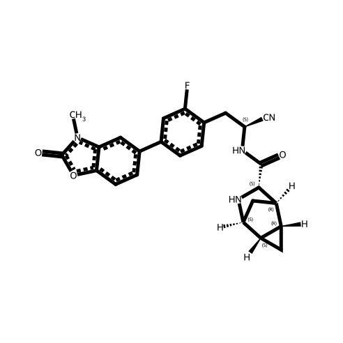 Cn1c(=O)oc2ccc(-c3ccc(C[C@@H](C#N)NC(=O)[C@H]4N[C@H]5C[C@@H]4[C@@H]4C[C@@H]45)c(F)c3)cc21